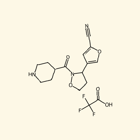 N#Cc1cc(C2CCON2C(=O)C2CCNCC2)co1.O=C(O)C(F)(F)F